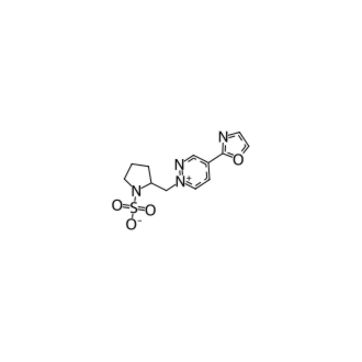 O=S(=O)([O-])N1CCCC1C[n+]1ccc(-c2ncco2)cn1